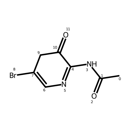 CC(=O)NC1=NC=C(Br)CC1=O